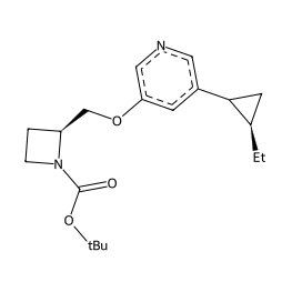 CC[C@@H]1CC1c1cncc(OC[C@@H]2CCN2C(=O)OC(C)(C)C)c1